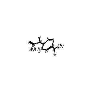 C=C(N)C(C)C1C=CC(C(C)O)=CC1